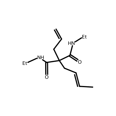 C=CCC(C/C=C/C)(C(=O)NCC)C(=O)NCC